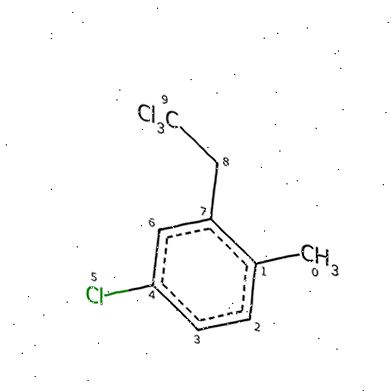 Cc1ccc(Cl)cc1CC(Cl)(Cl)Cl